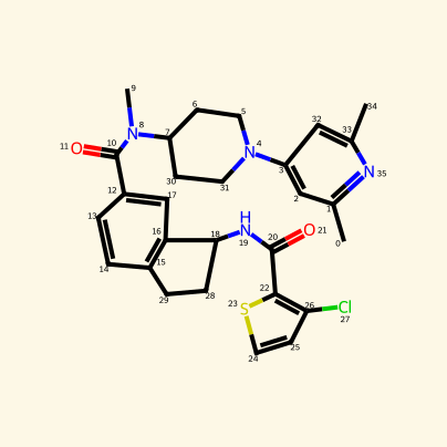 Cc1cc(N2CCC(N(C)C(=O)c3ccc4c(c3)C(NC(=O)c3sccc3Cl)CC4)CC2)cc(C)n1